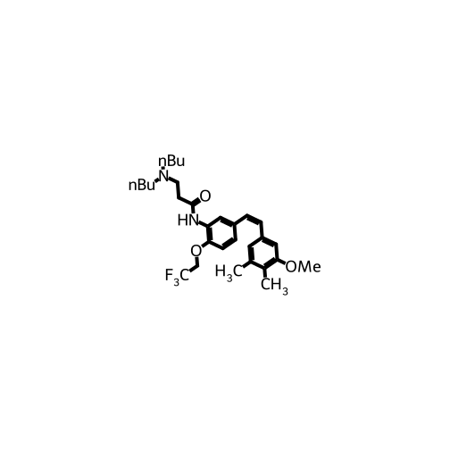 CCCCN(CCCC)CCC(=O)Nc1cc(/C=C\c2cc(C)c(C)c(OC)c2)ccc1OCC(F)(F)F